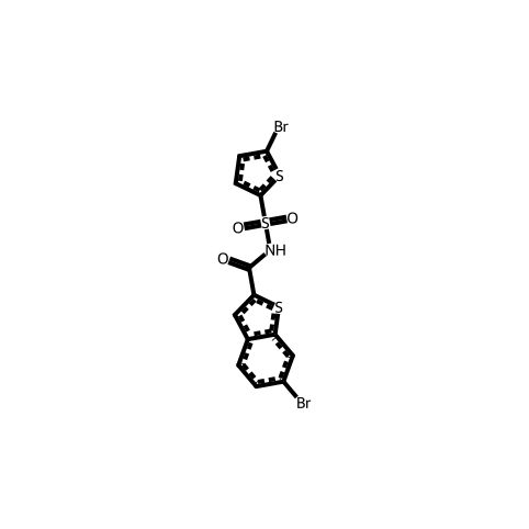 O=C(NS(=O)(=O)c1ccc(Br)s1)c1cc2ccc(Br)cc2s1